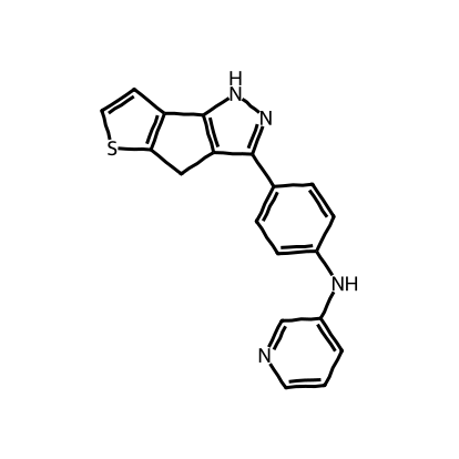 c1cncc(Nc2ccc(-c3n[nH]c4c3Cc3sccc3-4)cc2)c1